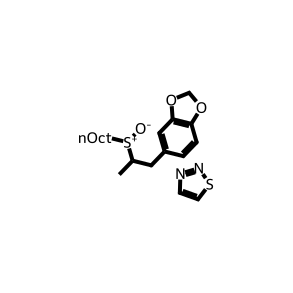 CCCCCCCC[S+]([O-])C(C)Cc1ccc2c(c1)OCO2.c1csnn1